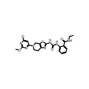 CCNC(=O)c1ccccc1NC(=O)Nc1nc2c(s1)CN(c1cc(Cl)nc(OC)n1)CC2